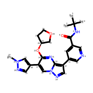 [2H]C([2H])([2H])NC(=O)c1cncc(-c2cnn3cc(-c4cnn(C(C)C)c4)c(O[C@H]4CCOC4)nc23)c1